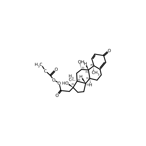 CCC(=O)OOC(=O)C[C@@]1(O)CC[C@H]2[C@@H]3CCC4=CC(=O)C=C[C@]4(C)[C@H]3[C@@H](O)C[C@@]21C